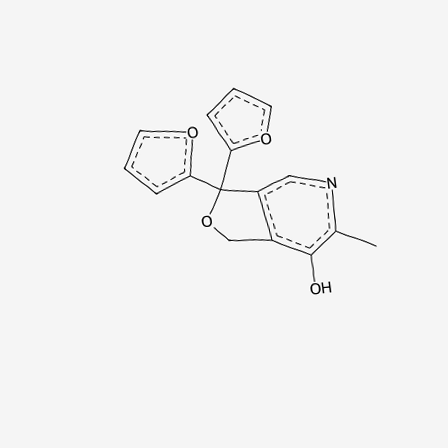 Cc1ncc2c(c1O)COC2(c1ccco1)c1ccco1